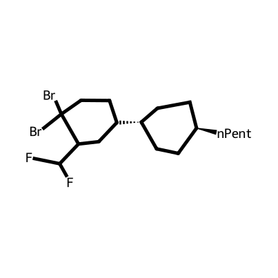 CCCCC[C@H]1CC[C@H](C2CCC(Br)(Br)C(C(F)F)C2)CC1